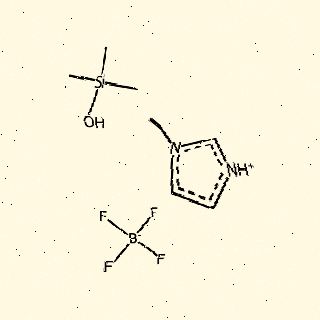 C[Si](C)(C)O.Cn1cc[nH+]c1.F[B-](F)(F)F